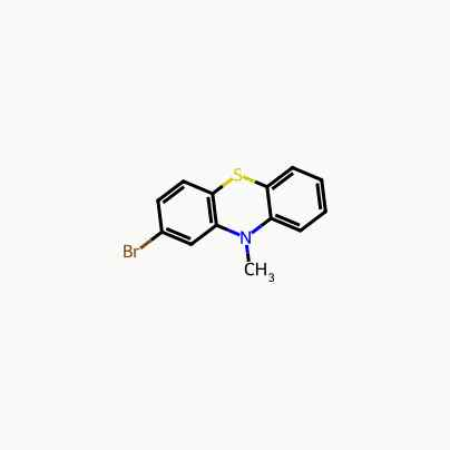 CN1c2ccccc2Sc2ccc(Br)cc21